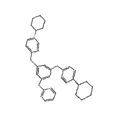 c1ccc(Cc2cc(Cc3ccc(C4CCCCC4)cc3)cc(Cc3ccc(C4CCCCC4)cc3)c2)cc1